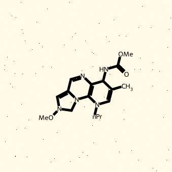 CCCN1C=C(C)C(NC(=O)OC)C2=C1N1CN(OC)C=C1C=N2